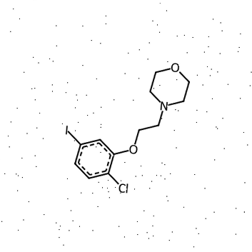 Clc1ccc(I)cc1OCCN1CCOCC1